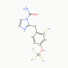 NC(=O)n1ccnc1Cc1ccc(OC(F)(F)F)cc1F